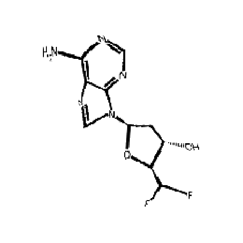 Nc1ncnc2c1ncn2[C@H]1C[C@H](O)[C@@H](C(F)F)O1